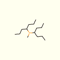 CCCC(CCC)P(C)C(CCC)CCC